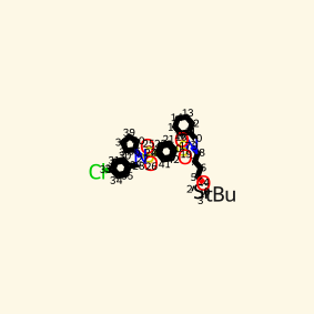 CC(C)(C)[Si](C)(C)OCCCCN(CC1CCCCC1)S(=O)(=O)c1ccc(S(=O)(=O)N(Cc2ccc(Cl)cc2)C2CCCC2)cc1